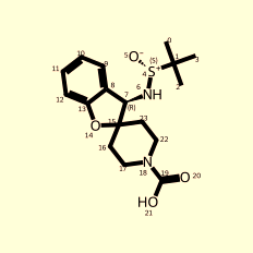 CC(C)(C)[S@@+]([O-])N[C@@H]1c2ccccc2OC12CCN(C(=O)O)CC2